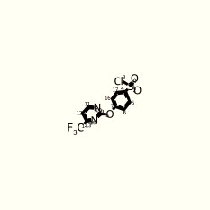 O=S(=O)(Cl)c1ccc(Oc2nccc(C(F)(F)F)n2)cc1